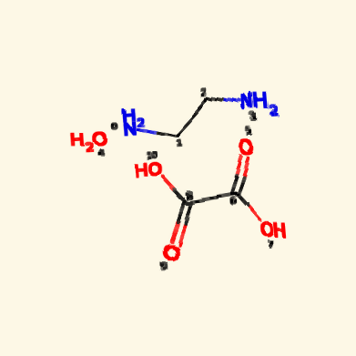 NCCN.O.O=C(O)C(=O)O